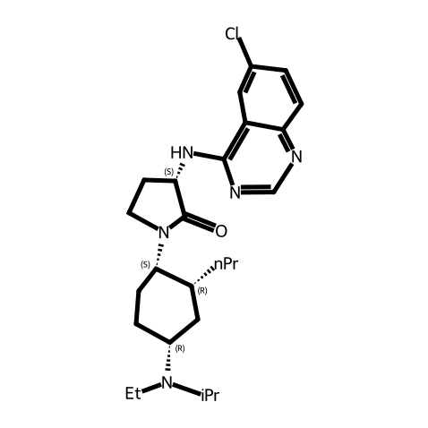 CCC[C@@H]1C[C@H](N(CC)C(C)C)CC[C@@H]1N1CC[C@H](Nc2ncnc3ccc(Cl)cc23)C1=O